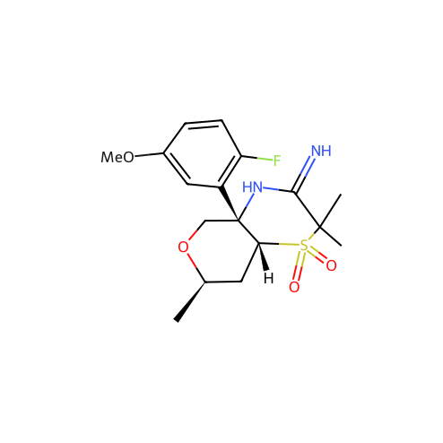 COc1ccc(F)c([C@]23CO[C@H](C)C[C@H]2S(=O)(=O)C(C)(C)C(=N)N3)c1